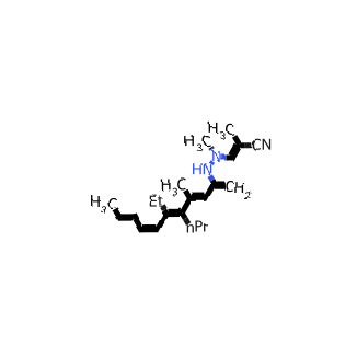 C=C(/C=C(C)/C(CCC)=C(/C=C\C=C\C)CC)NN(C)/C=C(\C)C#N